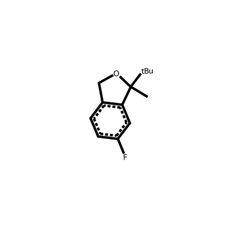 CC(C)(C)C1(C)OCc2ccc(F)cc21